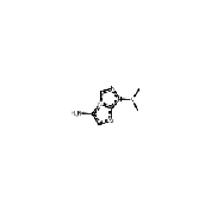 CN(C)n1ncn2c(N)cnc12